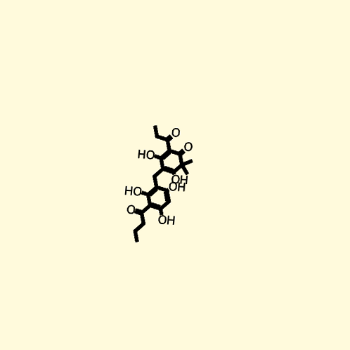 CCCC(=O)c1c(O)cc(O)c(CC2=C(O)C(C)(C)C(=O)C(C(=O)CC)=C2O)c1O